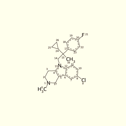 CN1CCc2c(c3cc(Cl)ccc3n2CC(C)(c2ccc(F)cc2)C2CC2)C1